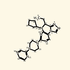 CCC1c2nncn2-c2cnc(N3CCN(c4cnccn4)CC3)nc2N1C1CCCC1